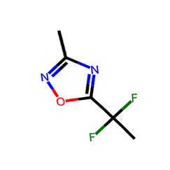 Cc1noc(C(C)(F)F)n1